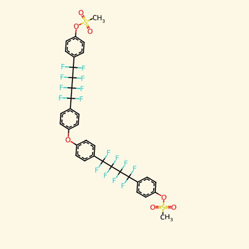 CS(=O)(=O)Oc1ccc(C(F)(F)C(F)(F)C(F)(F)C(F)(F)c2ccc(Oc3ccc(C(F)(F)C(F)(F)C(F)(F)C(F)(F)c4ccc(OS(C)(=O)=O)cc4)cc3)cc2)cc1